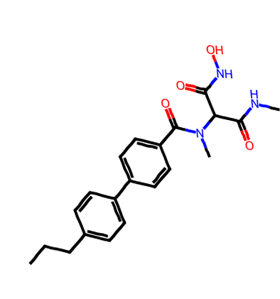 CCCc1ccc(-c2ccc(C(=O)N(C)C(C(=O)NC)C(=O)NO)cc2)cc1